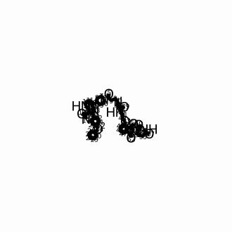 CN(CCC(=O)N1CCC([C@@H]2CCNc3c(C(N)=O)c(-c4ccc(Oc5ccccc5)cc4)nn32)CC1)CC(=O)NCCOc1cccc2c1C(=O)N(C1CCC(=O)NC1=O)C2=O